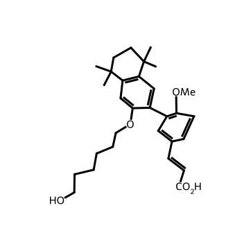 COc1ccc(/C=C/C(=O)O)cc1-c1cc2c(cc1OCCCCCCO)C(C)(C)CCC2(C)C